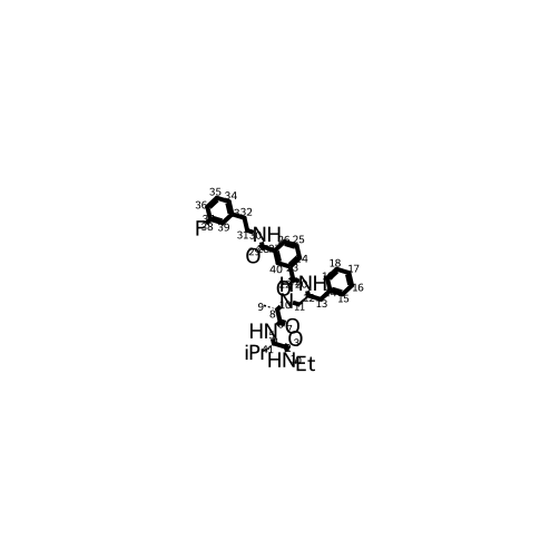 CCNC(=O)[C@@H](NC(=O)[C@H](C)NC[C@H](Cc1ccccc1)NC(=O)c1cccc(C(=O)NCCc2cccc(F)c2)c1)C(C)C